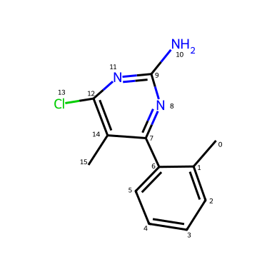 Cc1ccccc1-c1nc(N)nc(Cl)c1C